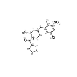 CCCC1CN(Cc2cc(Cl)cc([N+](=O)[O-])c2C)CCN1C(=O)C1CCCC1